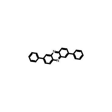 c1ccc(-c2ccc3nc4cc(-c5ccccc5)ccc4nc3c2)cc1